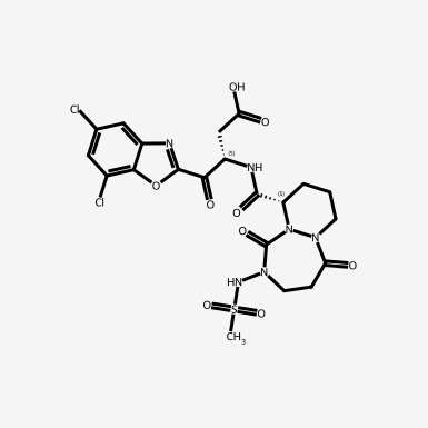 CS(=O)(=O)NN1CCC(=O)N2CCC[C@@H](C(=O)N[C@@H](CC(=O)O)C(=O)c3nc4cc(Cl)cc(Cl)c4o3)N2C1=O